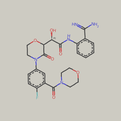 N=C(N)c1ccccc1NC(=O)[C@H](O)C1OCCN(c2ccc(F)c(C(=O)N3CCOCC3)c2)C1=O